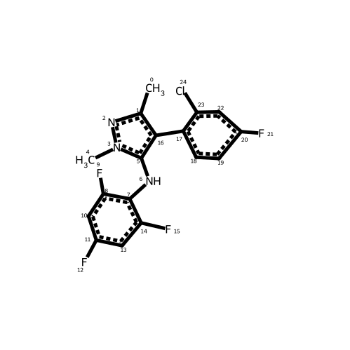 Cc1nn(C)c(Nc2c(F)cc(F)cc2F)c1-c1ccc(F)cc1Cl